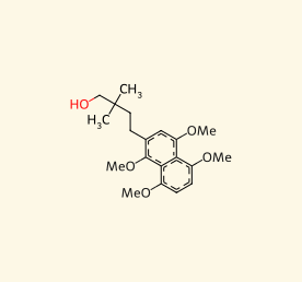 COc1ccc(OC)c2c(OC)c(CCC(C)(C)CO)cc(OC)c12